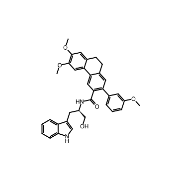 COc1cccc(-c2cc3c(cc2C(=O)N[C@@H](CO)Cc2c[nH]c4ccccc24)-c2cc(OC)c(OC)cc2CC3)c1